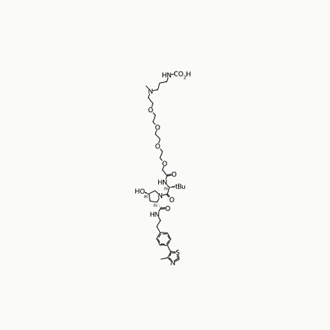 Cc1ncsc1-c1ccc(CCNC(=O)[C@@H]2C[C@@H](O)CN2C(=O)[C@@H](NC(=O)COCCOCCOCCOCCN(C)CCCNC(=O)O)C(C)(C)C)cc1